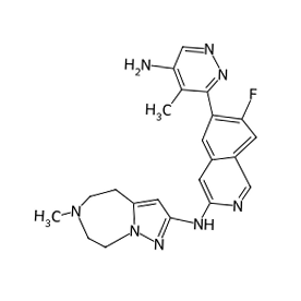 Cc1c(N)cnnc1-c1cc2cc(Nc3cc4n(n3)CCN(C)CC4)ncc2cc1F